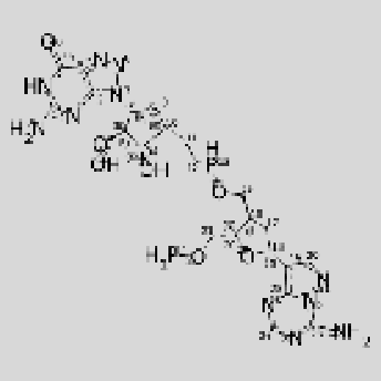 Nc1nc2c(nnn2[C@@H]2S[C@H](CCPOC[C@H]3C[C@H](c4cnn5c(N)ncnc45)O[C@@H]3COP)[C@@H](O)[C@H]2OO)c(=O)[nH]1